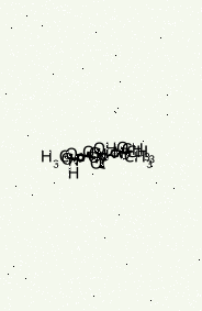 COC(=O)Nc1ccc(C(=O)COC(=O)C2C(C3CC3)CC(C3CCN(C(=O)OC(C)(C)C)CC3)CN2C(=O)O)cc1